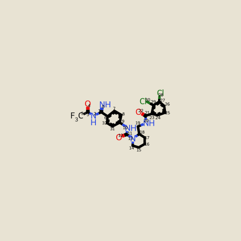 N=C(NC(=O)C(F)(F)F)c1ccc(NC(=O)N2CCCCC2CNC(=O)c2cccc(Cl)c2Cl)cc1